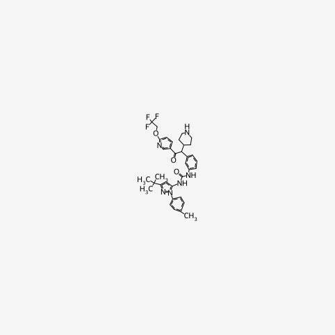 Cc1ccc(-n2nc(C(C)(C)C)cc2NC(=O)Nc2cccc(C(C(=O)c3ccc(OCC(F)(F)F)nc3)C3CCNCC3)c2)cc1